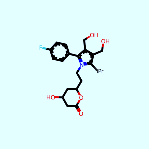 CC(C)c1c(CO)c(CO)c(-c2ccc(F)cc2)n1CCC1CC(O)CC(=O)O1